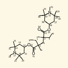 CCC(C)(CC(C)(CC)C(=O)OC1CC(C)(C)N(C)C(C)(C)C1)C(=O)OC1CC(C)(C)N(C)C(C)(C)C1